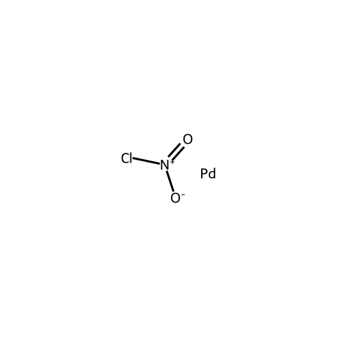 O=[N+]([O-])Cl.[Pd]